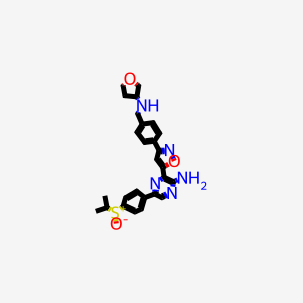 CC(C)[S+]([O-])c1ccc(-c2cnc(N)c(-c3cc(-c4ccc(CNC5CCOC5)cc4)no3)n2)cc1